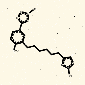 COc1ccc(-c2nnn(C(C)C)n2)cc1CCCCCCc1csc(C(C)C)n1